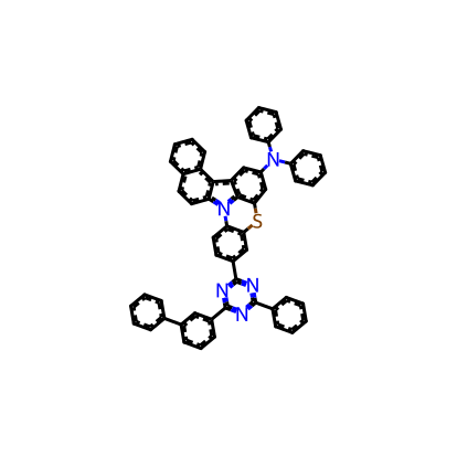 c1ccc(-c2cccc(-c3nc(-c4ccccc4)nc(-c4ccc5c(c4)Sc4cc(N(c6ccccc6)c6ccccc6)cc6c7c8ccccc8ccc7n-5c46)n3)c2)cc1